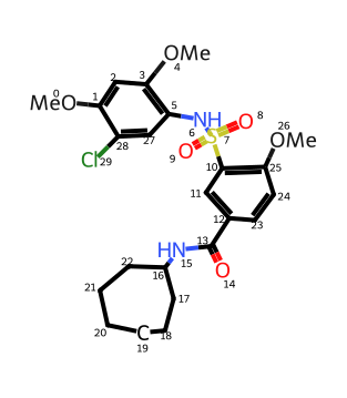 COc1cc(OC)c(NS(=O)(=O)c2cc(C(=O)NC3CCCCCC3)ccc2OC)cc1Cl